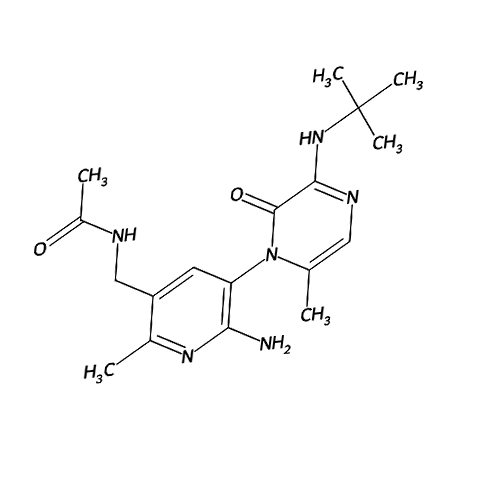 CC(=O)NCc1cc(-n2c(C)cnc(NC(C)(C)C)c2=O)c(N)nc1C